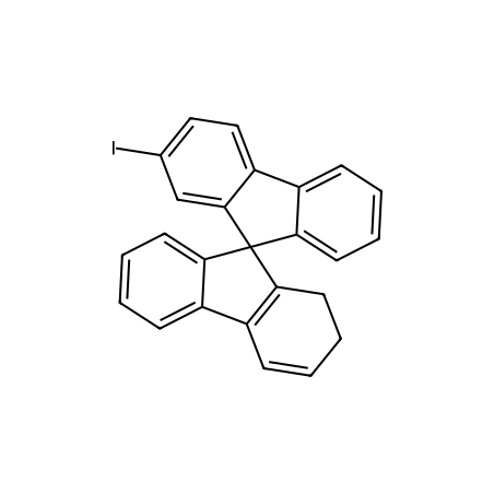 Ic1ccc2c(c1)C1(C3=C(C=CCC3)c3ccccc31)c1ccccc1-2